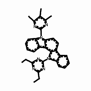 CCc1nc(CC)nc(-n2c3ccccc3c3ccc4c(c5ccccc5n4-c4nc(C)c(C)c(C)n4)c32)n1